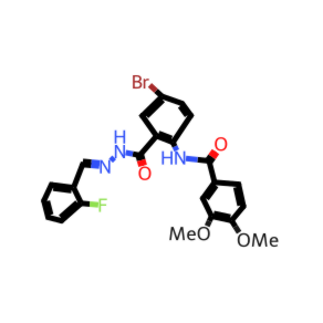 COc1ccc(C(=O)Nc2ccc(Br)cc2C(=O)N/N=C/c2ccccc2F)cc1OC